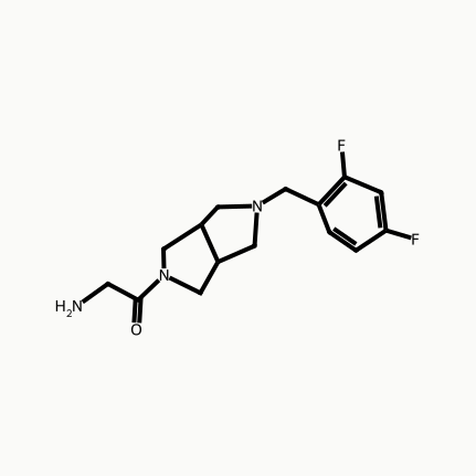 NCC(=O)N1CC2CN(Cc3ccc(F)cc3F)CC2C1